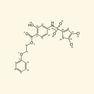 O=C(OCCOc1ccccc1)c1ccc(NS(=O)(=O)c2cc(Cl)c(Cl)s2)cc1O